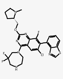 CN1CCC[C@H]1COc1nc(N2CCNCC(F)(F)C2)c2cc(Cl)c(-c3cccc4scnc34)c(F)c2n1